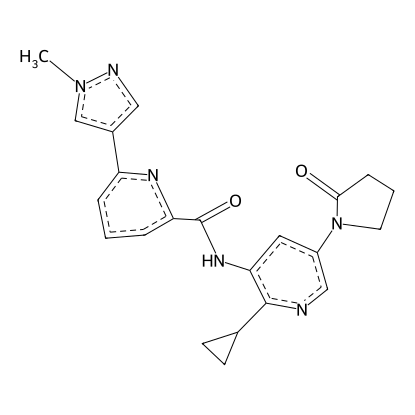 Cn1cc(-c2cccc(C(=O)Nc3cc(N4CCCC4=O)cnc3C3CC3)n2)cn1